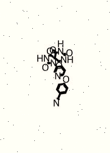 N#Cc1ccc(Oc2ccc(N3C(=O)NC(=O)C34C(=O)NC(=O)NC4=O)cn2)cc1